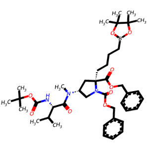 CC(C)[C@H](NC(=O)OC(C)(C)C)C(=O)N(C)[C@H]1CN(C(=O)OCc2ccccc2)[C@](CCCCB2OC(C)(C)C(C)(C)O2)(C(=O)OCc2ccccc2)C1